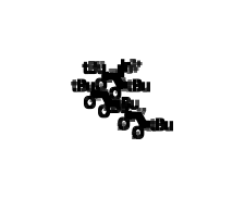 CC(C)(C)C([O-])CC([O-])C(C)(C)C.CC(C)(C)C([O-])CC([O-])C(C)(C)C.CC(C)(C)C([O-])CC([O-])C(C)(C)C.[Ir+3].[Ir+3]